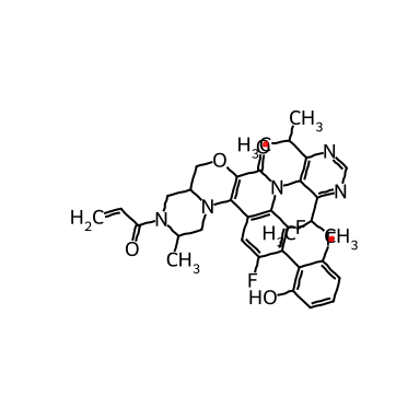 C=CC(=O)N1CC2COc3c(c4cc(F)c(-c5c(O)cccc5F)c(F)c4n(-c4c(C(C)C)ncnc4C(C)C)c3=O)N2CC1C